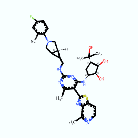 Cc1nc(NCC2C3CN(c4ccc(F)cc4C#N)C[C@@H]23)nc(N[C@@H]2C[C@H](C(C)(C)O)[C@@H](O)[C@H]2O)c1-c1nc2c(C)nccc2s1